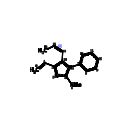 C=Cc1nc(NC)n(-c2ccccc2)c1/C=C\C